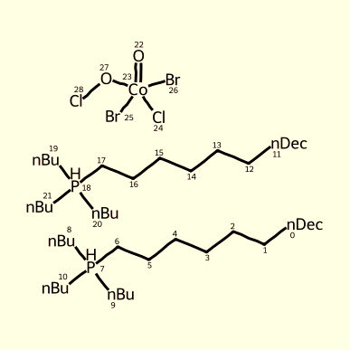 CCCCCCCCCCCCCCCC[PH](CCCC)(CCCC)CCCC.CCCCCCCCCCCCCCCC[PH](CCCC)(CCCC)CCCC.[O]=[Co]([Cl])([Br])([Br])[O]Cl